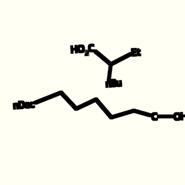 CCCCC(CC)C(=O)O.CCCCCCCCCCCCCCCCO